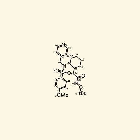 COc1ccc(S(=O)(=O)N(Cc2ccncc2)[C@@H]2CCCCC2CC(=O)NOC(C)(C)C)cc1